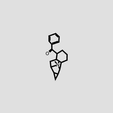 C[N+]1(C)C2CC3C(C(=O)c4ccccc4)CCCC3C1C1CC12